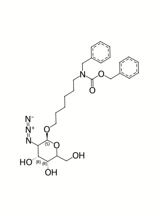 [N-]=[N+]=NC1[C@@H](OCCCCCCN(Cc2ccccc2)C(=O)OCc2ccccc2)OC(CO)[C@H](O)[C@@H]1O